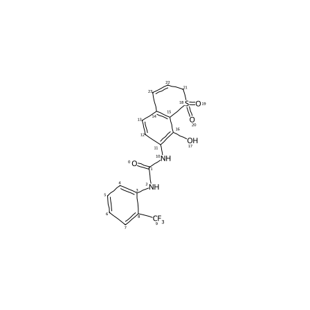 O=C(Nc1ccccc1C(F)(F)F)Nc1ccc2c(c1O)S(=O)(=O)CC=C2